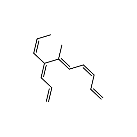 C=CC=C(/C=C\C)/C(C)=C/C=C\C=C